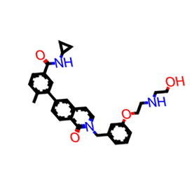 Cc1ccc(C(=O)NC2CC2)cc1-c1ccc2c(=O)n(Cc3cccc(OCCNCCO)c3)ccc2c1